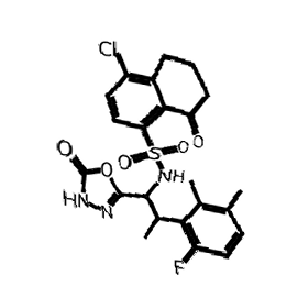 Cc1ccc(F)c(C(C)C(NS(=O)(=O)c2ccc(Cl)c3c2C(=O)CCC3)c2n[nH]c(=O)o2)c1C